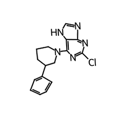 Clc1nc(N2CCCC(c3ccccc3)C2)c2[nH]cnc2n1